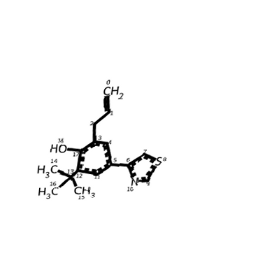 C=CCc1cc(-c2cscn2)cc(C(C)(C)C)c1O